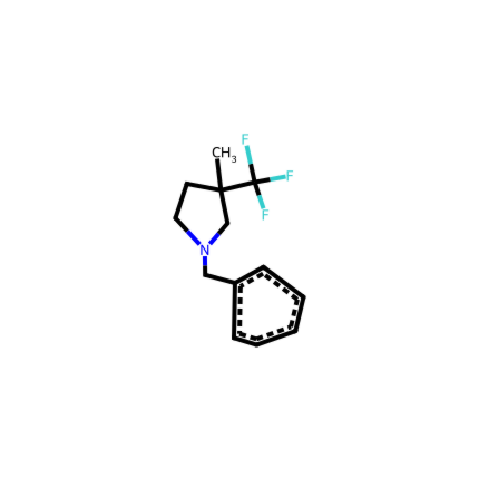 CC1(C(F)(F)F)CCN(Cc2ccccc2)C1